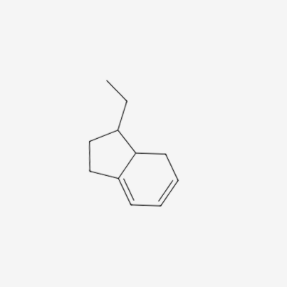 CCC1CCC2=CC=CCC21